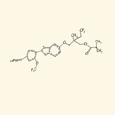 C=C(C)C(=O)OCC(C)(COc1ccc2cc(-c3ccc(CCCCC)cc3OC(F)(F)F)sc2c1)CC(F)(F)F